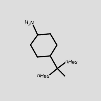 CCCCCCC(C)(CCCCCC)C1CCC(N)CC1